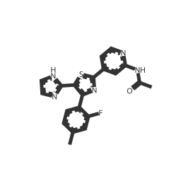 CC(=O)Nc1cc(-c2nc(-c3ccc(C)cc3F)c(-c3ncc[nH]3)s2)ccn1